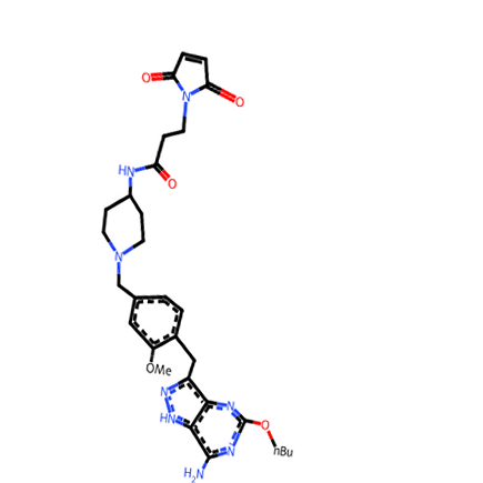 CCCCOc1nc(N)c2[nH]nc(Cc3ccc(CN4CCC(NC(=O)CCN5C(=O)C=CC5=O)CC4)cc3OC)c2n1